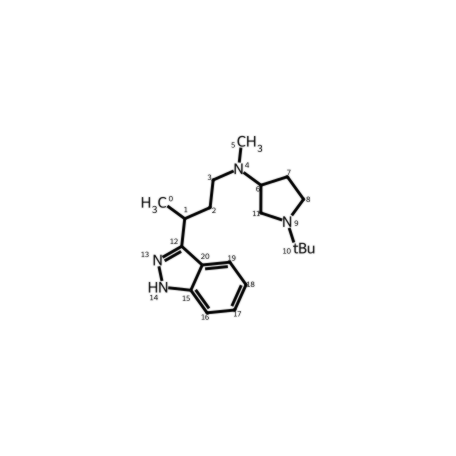 CC(CCN(C)C1CCN(C(C)(C)C)C1)c1n[nH]c2ccccc12